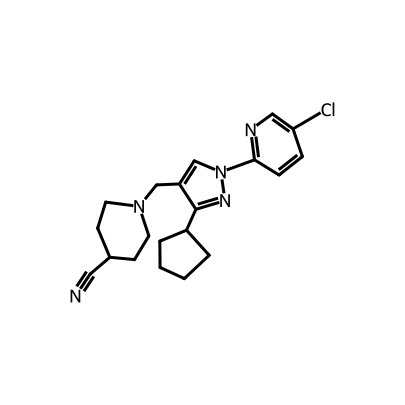 N#CC1CCN(Cc2cn(-c3ccc(Cl)cn3)nc2C2CCCC2)CC1